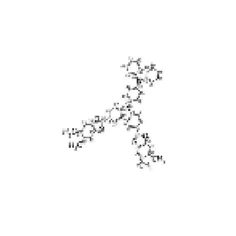 Cc1cc2nc(-c3ccc4c(c3)c3cc(-c5nc6cc(C)c(C)cc6o5)ccc3n4-c3ccc(-n4c5ccccc5c5ccccc54)cc3)oc2cc1C